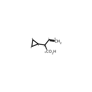 C=CC([C]1CC1)C(=O)O